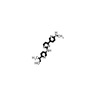 CNc1ccc(-c2ccnc(Nc3ccc(C(C)CO)nc3)n2)cn1